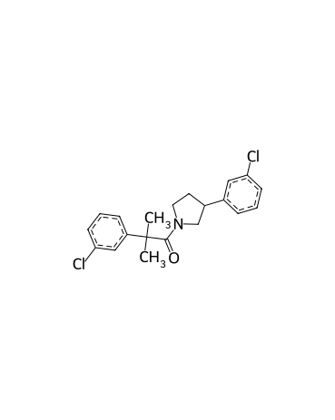 CC(C)(C(=O)N1CCC(c2cccc(Cl)c2)C1)c1cccc(Cl)c1